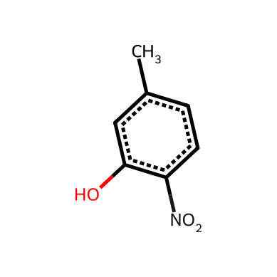 Cc1ccc([N+](=O)[O-])c(O)c1